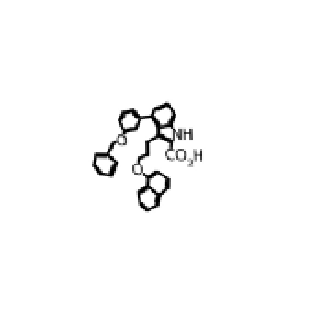 O=C(O)c1[nH]c2cccc(-c3cccc(OCc4ccccc4)c3)c2c1CCCOc1cccc2ccccc12